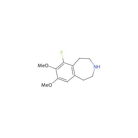 COc1cc2c(c(F)c1OC)CCNCC2